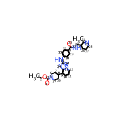 CCOC(=O)N1CC=C(c2cccn3nc(Nc4ccc(C(=O)NCc5cccnc5C)cc4)nc23)CC1